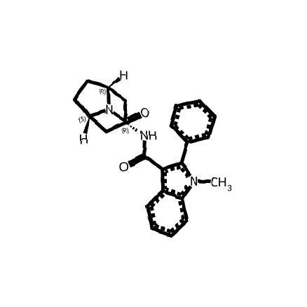 Cn1c(-c2ccccc2)c(C(=O)N[C@H]2C[C@H]3CC[C@@H](C2)N3C=O)c2ccccc21